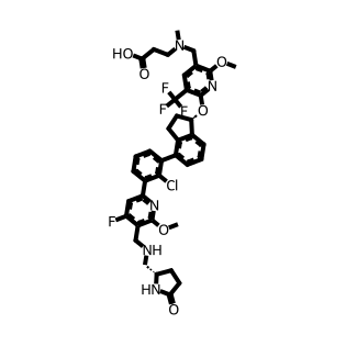 COc1nc(O[C@H]2CCc3c(-c4cccc(-c5cc(F)c(CNC[C@@H]6CCC(=O)N6)c(OC)n5)c4Cl)cccc32)c(C(F)(F)F)cc1CN(C)CCC(=O)O